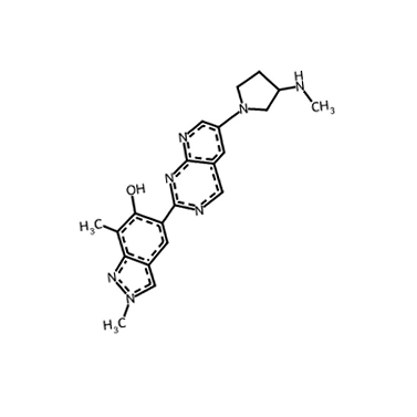 CNC1CCN(c2cnc3nc(-c4cc5cn(C)nc5c(C)c4O)ncc3c2)C1